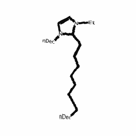 CCCCCCCCCCCCCCCCCC1N(CC)C=CN1CCCCCCCCCC